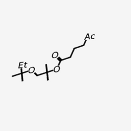 CCC(C)(C)OCC(C)(C)OC(=O)CCCC(C)=O